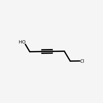 OCC#CCCCl